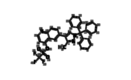 Cc1nn(C(c2ccccc2)(c2ccccc2)c2ccccc2)cc1-c1ccc2nccc(OS(=O)(=O)C(F)(F)F)c2c1